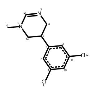 CN1C=NCC(c2cc(Cl)cc(Cl)c2)C1